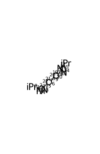 CC(C)c1cc(-c2ccc(-c3ccc(-c4nccc(C(C)C)n4)cc3)cc2)ncn1